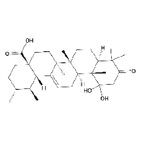 C[C@H]1[C@H](C)CC[C@]2(C(=O)O)CC[C@]3(C)C(=CC[C@@H]4[C@]5(C)[C@@H](CC[C@]43C)C(C)(C)C(=O)CC5(O)O)[C@H]12